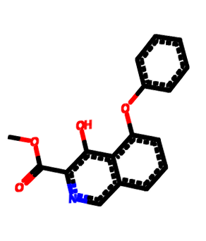 COC(=O)c1ncc2cccc(Oc3ccccc3)c2c1O